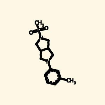 Cc1cccc(N2CC3CN(S(C)(=O)=O)CC3C2)c1